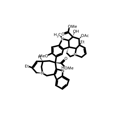 CCC1=C[C@@H]2C[N@](C1)Cc1c([nH]c3ccccc13)[C@@](C(=O)OC)(c1cc3c(cc1OC)N(C)C1[C@]34CCN3CC=C[C@](CC)(C34)[C@@H](OC(C)=O)[C@]1(O)C(=O)OC)C2